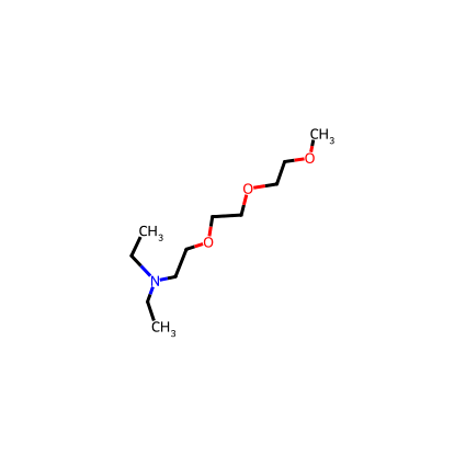 CCN(CC)CCOCCOCCOC